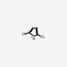 Clc1[c]cc(Cl)[nH]1